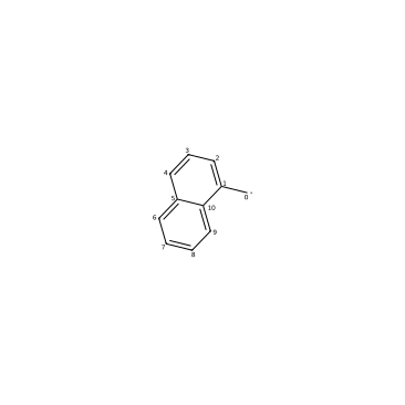 [CH2]c1cccc2ccccc12